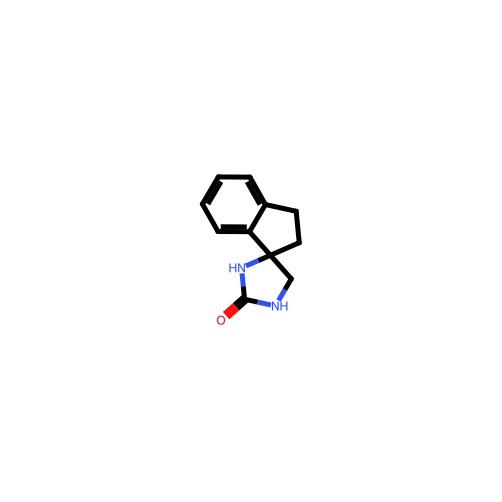 O=C1NCC2(CCc3ccccc32)N1